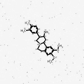 COc1cc2c(cc1OC)C1CC(N)C(c3ccc(C)c(C)c3)CN1CC2